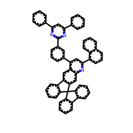 c1ccc(-c2cc(-c3ccccc3)nc(-c3cccc(-c4cc(-c5cccc6ccccc56)nc5cc6c(cc45)-c4ccccc4C64c5ccccc5-c5ccccc54)c3)n2)cc1